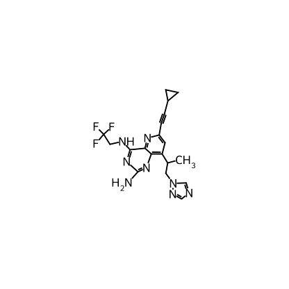 CC(Cn1cncn1)c1cc(C#CC2CC2)nc2c(NCC(F)(F)F)nc(N)nc12